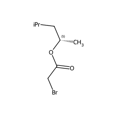 CC(C)C[C@H](C)OC(=O)CBr